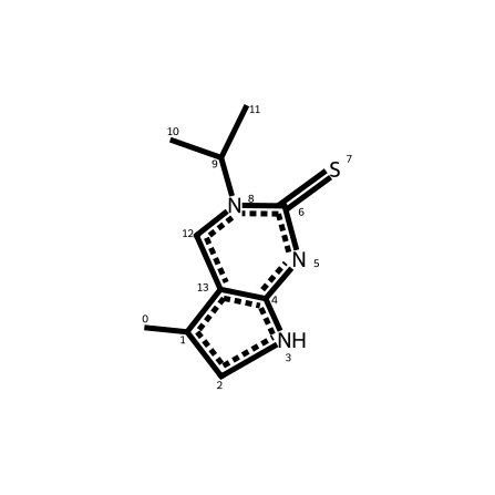 Cc1c[nH]c2nc(=S)n(C(C)C)cc12